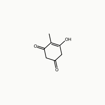 CC1=C(O)CC(=O)CC1=O